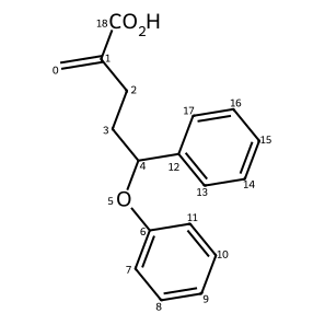 C=C(CCC(Oc1ccccc1)c1ccccc1)C(=O)O